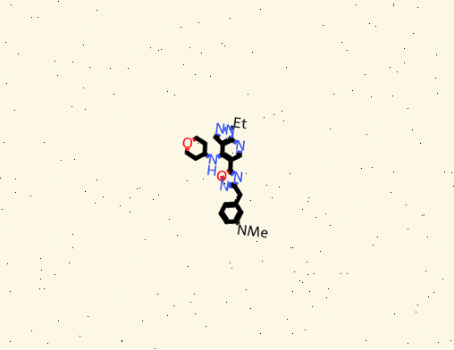 CCn1ncc2c(NC3CCOCC3)c(-c3nc(Cc4cccc(NC)c4)no3)cnc21